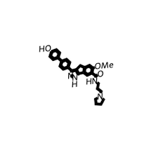 COc1cc2c(cc1C(=O)NCCCN1CCCC1)-c1[nH]nc(-c3ccc(-c4ccc(O)cc4)cc3)c1C2